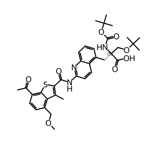 COCc1ccc(C(C)=O)c2sc(C(=O)Nc3ccc4c(C[C@@](COC(C)(C)C)(NC(=O)OC(C)(C)C)C(=O)O)cccc4n3)c(C)c12